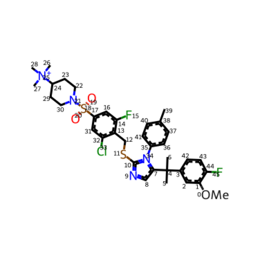 COc1cc(C(C)(C)c2cnc(SCc3c(F)cc(S(=O)(=O)N4CCC([N+](C)(C)C)CC4)cc3Cl)n2-c2ccc(C)cc2)ccc1F